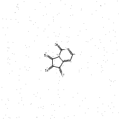 [Se]=C1C(=[Se])C2=CC=CC(=[Se])C2C1=[Se]